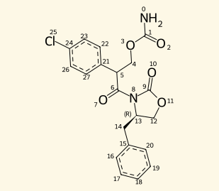 NC(=O)OCC(C(=O)N1C(=O)OC[C@H]1Cc1ccccc1)c1ccc(Cl)cc1